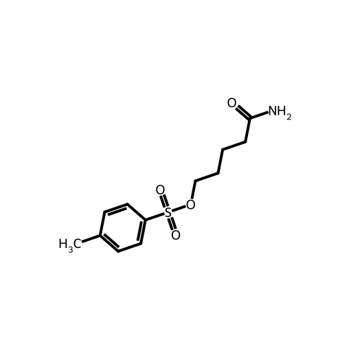 Cc1ccc(S(=O)(=O)OCCCCC(N)=O)cc1